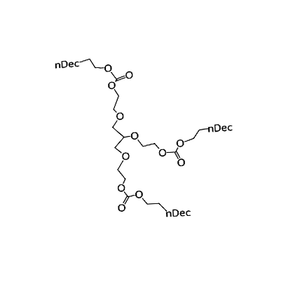 CCCCCCCCCCCCOC(=O)OCCOCC(COCCOC(=O)OCCCCCCCCCCCC)OCCOC(=O)OCCCCCCCCCCCC